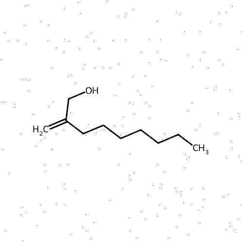 C=C(CO)CCCCCCC